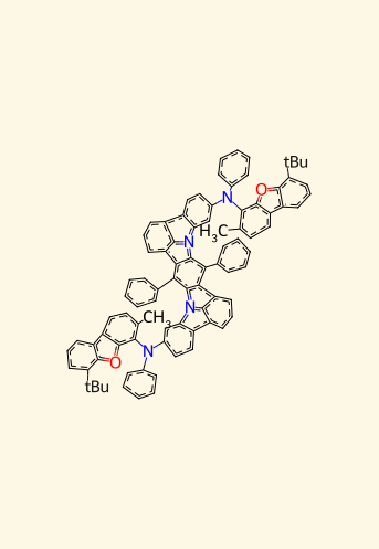 Cc1ccc2c(oc3c(C(C)(C)C)cccc32)c1N(c1ccccc1)c1ccc2c3cccc4c5c(-c6ccccc6)c6c(c(-c7ccccc7)c5n(c2c1)c34)c1cccc2c3ccc(N(c4ccccc4)c4c(C)ccc5c4oc4c(C(C)(C)C)cccc45)cc3n6c21